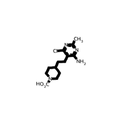 Cc1nc(N)c(CCC2CCN(C(=O)O)CC2)c(Cl)n1